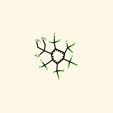 BC(CC)(CC)c1c(C(F)(F)F)c(C(F)(F)F)c(C(F)(F)F)c(C(F)(F)F)c1C(F)(F)F